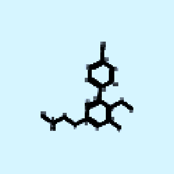 CCc1c(C)cc(CCNC)nc1-c1ccc(F)cc1